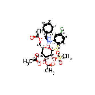 CC(=O)OC[C@H]1O[C@@H](Sc2ccc(Cl)cc2NCc2ccccc2)[C@H](OS(C)(=O)=O)[C@@H](OC(C)=O)[C@@H]1OC(C)=O